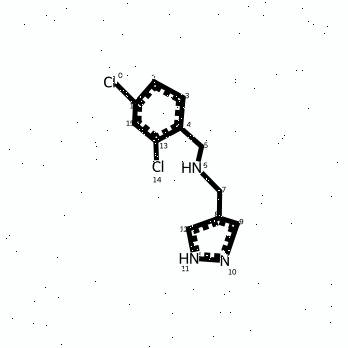 Clc1ccc(CNCc2cn[nH]c2)c(Cl)c1